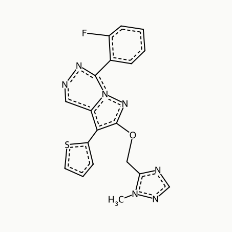 Cn1ncnc1COc1nn2c(-c3ccccc3F)nncc2c1-c1cccs1